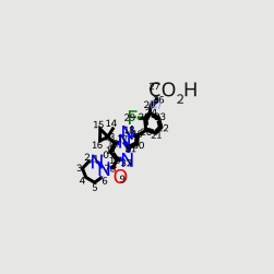 CN1CCCCCN1C(=O)c1cc(C2(C)CC2)n2nc(-c3cccc(/C=C/C(=O)O)c3F)cc2n1